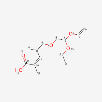 C=COC(COCC(C)C=C(C)C(=O)O)OCC